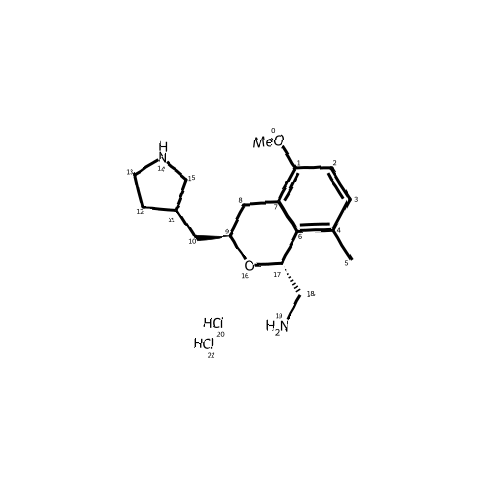 COc1ccc(C)c2c1C[C@H](CC1CCNC1)O[C@H]2CN.Cl.Cl